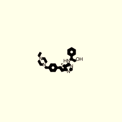 CCN1CCN(Cc2ccc(-c3cc4ncnc(NC(CO)c5ccccc5)c4s3)cc2)CC1